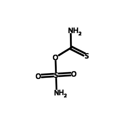 NC(=S)OS(N)(=O)=O